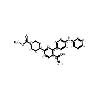 CC(C)(C)OC(=O)N1CCC(c2ncc(C(N)=O)c(-c3ccc(Oc4ccccc4)cc3)n2)CC1